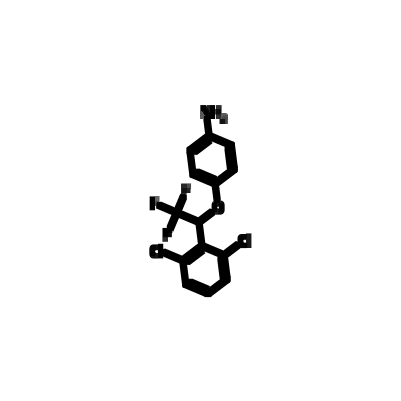 Nc1ccc(OC(c2c(Cl)cccc2Cl)C(F)(F)F)cc1